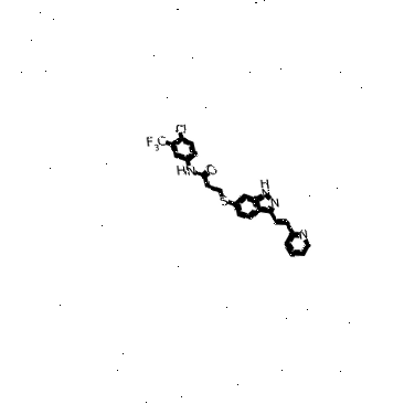 O=C(CCSc1ccc2c(C=Cc3ccccn3)n[nH]c2c1)Nc1ccc(Cl)c(C(F)(F)F)c1